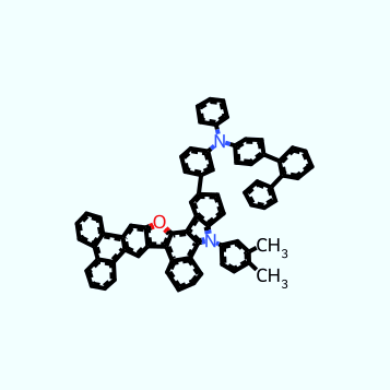 Cc1ccc(-n2c3ccc(-c4cccc(N(c5ccccc5)c5ccc(-c6ccccc6-c6ccccc6)cc5)c4)cc3c3c4oc5cc6c7ccccc7c7ccccc7c6cc5c4c4ccccc4c32)cc1C